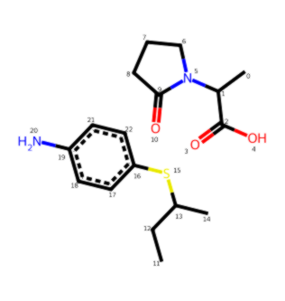 CC(C(=O)O)N1CCCC1=O.CCC(C)Sc1ccc(N)cc1